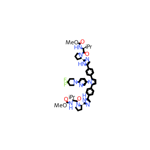 COC(=O)N[C@H](C(=O)N1CCC[C@H]1c1ncc(-c2ccc(-c3ccc(-c4ccc(-c5cnc([C@@H]6CCCN6C(=O)[C@@H](NC(=O)OC)C(C)C)[nH]5)cc4)n3-c3ccc(N4CCC(F)(F)CC4)nc3)cc2)[nH]1)C(C)C